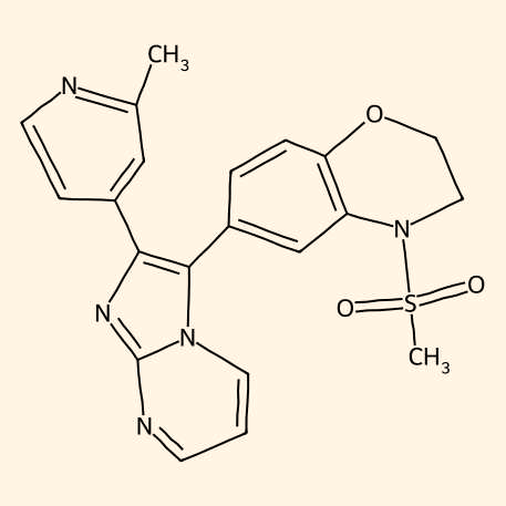 Cc1cc(-c2nc3ncccn3c2-c2ccc3c(c2)N(S(C)(=O)=O)CCO3)ccn1